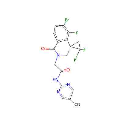 N#Cc1cnc(NC(=O)CN2C[C@@]3(CC3(F)F)c3c(ccc(Br)c3F)C2=O)nc1